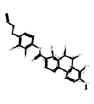 C=CCCc1ccc(OC(=O)c2ccc3c(c2F)C(F)C(F)c2c-3ccc(OC)c2F)c(F)c1F